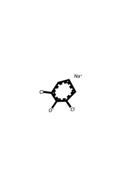 [Na+].[O-]c1c(Cl)cccc1Cl